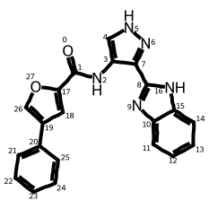 O=C(Nc1c[nH]nc1-c1nc2ccccc2[nH]1)c1cc(-c2ccccc2)co1